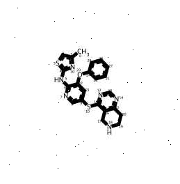 Cc1csc(Nc2ncc(Sc3ncnc4c3CNCC4)cc2Oc2ccccc2)n1